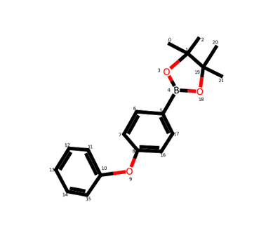 CC1(C)OB(c2ccc(Oc3ccccc3)cc2)OC1(C)C